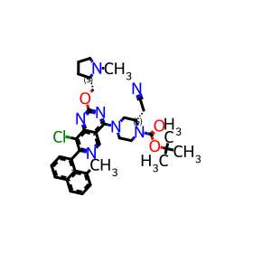 Cc1cccc2cccc(-c3ncc4c(N5CCN(C(=O)OC(C)(C)C)[C@@H](CC#N)C5)nc(OC[C@@H]5CCCN5C)nc4c3Cl)c12